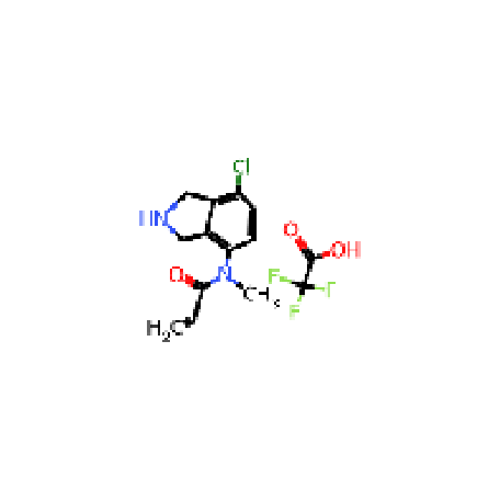 C=CC(=O)N(C)c1ccc(Cl)c2c1CNC2.O=C(O)C(F)(F)F